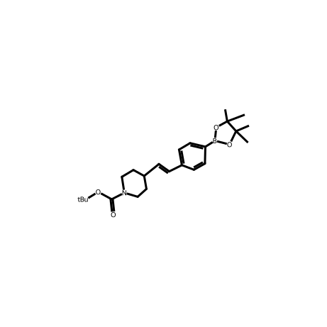 CC(C)(C)OC(=O)N1CCC(/C=C/c2ccc(B3OC(C)(C)C(C)(C)O3)cc2)CC1